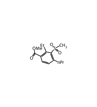 CCCc1ccc(C(=O)OC)c(CC)c1S(C)(=O)=O